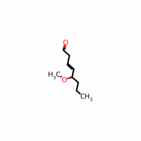 CCCC(C=CCC=O)OC